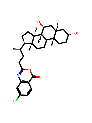 C[C@H](CCc1nc2cc(Cl)ccc2c(=O)o1)[C@H]1CC[C@H]2[C@H]3C(CC[C@]12C)[C@@]1(C)CC[C@@H](O)C[C@H]1C[C@@H]3O